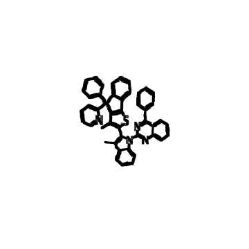 Cc1c(-c2c(C)c3ccccc3n2-c2nc(-c3ccccc3)c3ccccc3n2)sc2c1C(c1ccccc1)(c1ccccn1)c1ccccc1-2